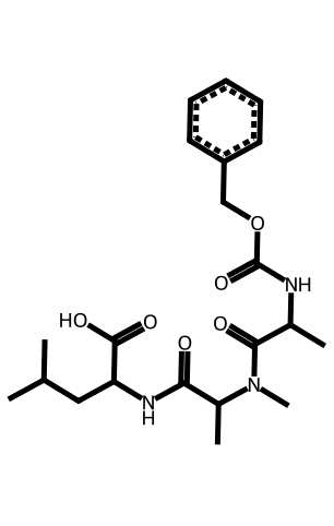 CC(C)CC(NC(=O)C(C)N(C)C(=O)C(C)NC(=O)OCc1ccccc1)C(=O)O